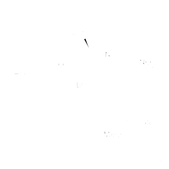 COC(=O)c1cc(Br)c(N[C@H](C)COCC(=O)O)c([N+](=O)[O-])c1